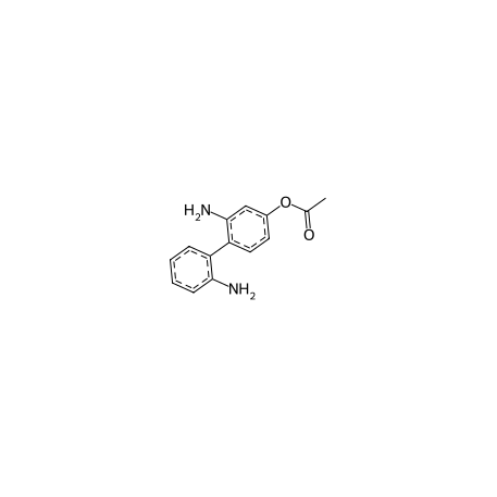 CC(=O)Oc1ccc(-c2ccccc2N)c(N)c1